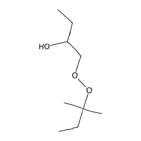 CCC(O)COOC(C)(C)CC